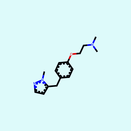 CN(C)CCOc1ccc(Cc2ccnn2C)cc1